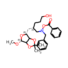 CO[C@@H]1O[C@H](C[C@H](CCCO)CN(Cc2ccccc2)OC(=O)c2ccccc2)C2OC(C)(C)OC21